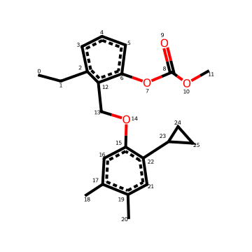 CCc1cccc(OC(=O)OC)c1COc1cc(C)c(C)cc1C1CC1